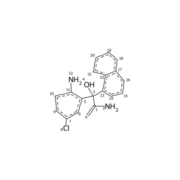 C=C(N)C(O)(c1cc(Cl)ccc1N)c1cccc2ccccc12